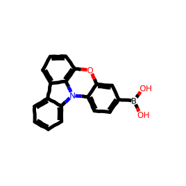 OB(O)c1ccc2c(c1)Oc1cccc3c4ccccc4n-2c13